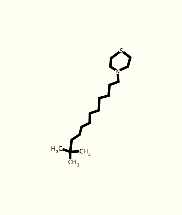 CC(C)(C)CCCCCCCCCCN1CCSCC1